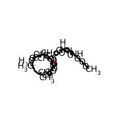 CCOCCOCCOCCNC(=O)CN1CCC(NC(=O)O[C@H]2CC[C@H](CC[C@@H]3CC[C@H](C)/C=C(\C)[C@@H](O)CC(=O)[C@H](C)C[C@H](C)/C=C/C=C/C=C(\C)[C@@H](C)CC4CCCC(O4)C(=O)C(=O)N4CCCC[C@H]4C(=O)O3)CC2)CC1